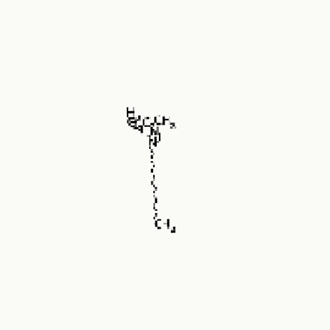 CCCCCCCCCCCCCCN1C=CN(C(C)C)C1CCCC